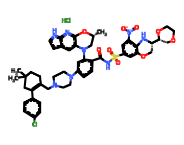 C[C@@H]1CN(c2cc(N3CCN(CC4=C(c5ccc(Cl)cc5)CC(C)(C)CC4)CC3)ccc2C(=O)NS(=O)(=O)c2cc3c(c([N+](=O)[O-])c2)N[C@H]([C@H]2COCCO2)CO3)c2cc3cc[nH]c3nc2O1.Cl